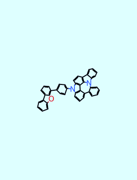 c1ccc2c(c1)oc1c(-c3ccc(-n4c5cccc6c7ccccc7n7c8ccccc8c8ccc4c(c65)c87)cc3)cccc12